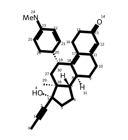 CC#C[C@]1(O)CC[C@H]2[C@@H]3CCC4=CC(=O)CCC4=C3[C@@H](C3C=CC(NC)=CC3)C[C@@]21C